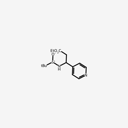 CCOC(=O)CC(N[S+]([O-])C(C)(C)C)c1ccncc1